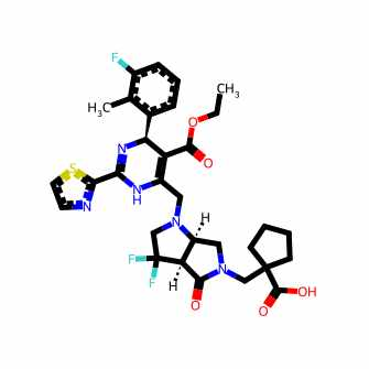 CCOC(=O)C1=C(CN2CC(F)(F)[C@@H]3C(=O)N(CC4(C(=O)O)CCCC4)C[C@@H]32)NC(c2nccs2)=N[C@H]1c1cccc(F)c1C